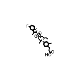 CCCN(CC(CC)Oc1ccc(CCC(=O)O)c(C)c1)S(=O)(=O)c1sc2ccc(F)cc2c1C